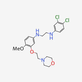 COc1ccc(NCCNc2ccc(Cl)c(Cl)c2)cc1OCCN1CCOCC1